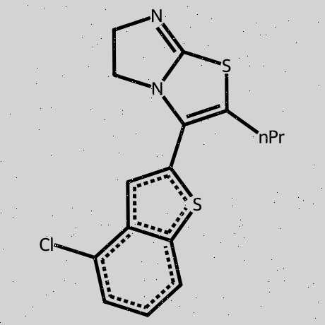 CCCC1=C(c2cc3c(Cl)cccc3s2)N2CCN=C2S1